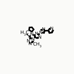 CC[C@@H]1c2nnc(C)n2-c2cnc(-n3cnc(-c4cccnc4)c3)nc2N1C1CCCC1